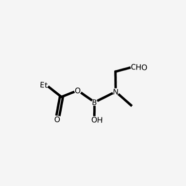 CCC(=O)OB(O)N(C)CC=O